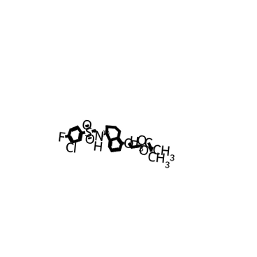 CC(C)(C)OC(=O)COc1cccc2c1CCC[C@H]2NCS(=O)(=O)c1ccc(F)c(Cl)c1